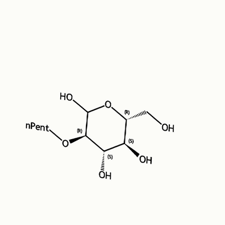 CCCCCO[C@H]1C(O)O[C@H](CO)[C@@H](O)[C@@H]1O